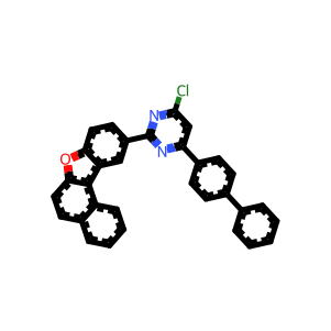 Clc1cc(-c2ccc(-c3ccccc3)cc2)nc(-c2ccc3oc4ccc5ccccc5c4c3c2)n1